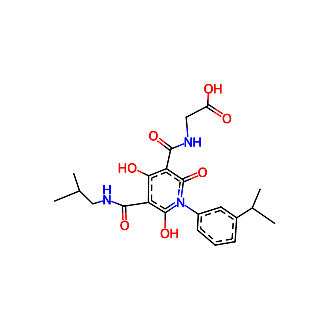 CC(C)CNC(=O)c1c(O)c(C(=O)NCC(=O)O)c(=O)n(-c2cccc(C(C)C)c2)c1O